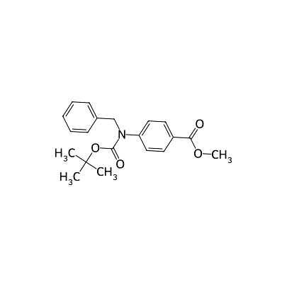 COC(=O)c1ccc(N(Cc2ccccc2)C(=O)OC(C)(C)C)cc1